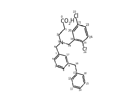 O=C(O)CCN(Cc1cccc(Cc2ccccc2)c1)Cc1cc(Cl)ccc1Cl